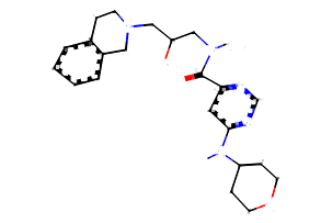 CN(CC(O)CN1CCc2ccccc2C1)C(=O)c1cc(N(C)C2CCOCC2)ncn1